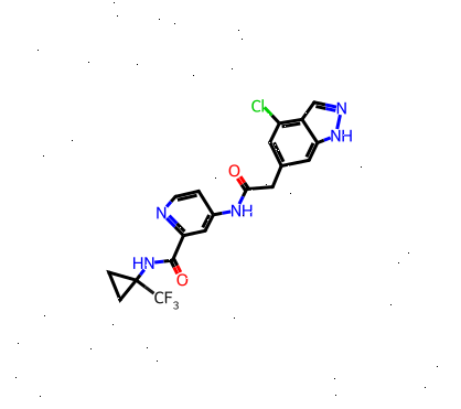 O=C(Cc1cc(Cl)c2cn[nH]c2c1)Nc1ccnc(C(=O)NC2(C(F)(F)F)CC2)c1